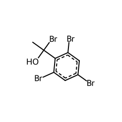 CC(O)(Br)c1c(Br)cc(Br)cc1Br